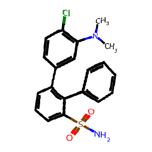 CN(C)c1cc(-c2cccc(S(N)(=O)=O)c2-c2ccccc2)ccc1Cl